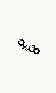 CC(C)(OC(=O)Cc1ccccc1O)C1CCNCC1